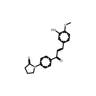 COc1ccc(/C=C/C(=O)c2ccc(N3CCCC3=O)cc2)cc1O